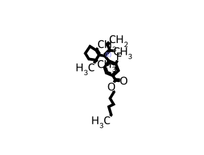 C=C/C(C)=C(\C1=C(C)CCCC1(C)C)c1ccc(C(=O)OCCCCCC)cc1F